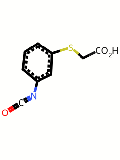 O=C=Nc1cccc(SCC(=O)O)c1